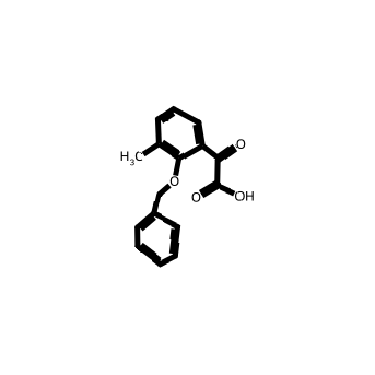 Cc1cccc(C(=O)C(=O)O)c1OCc1ccccc1